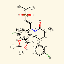 CCC(/C=C/S(=O)(=O)C(C)C)N1C(=O)[C@H](C)C[C@H](c2cccc(Cl)c2)[C@@]1(CC1COC(C)(C)O1)c1ccc(Cl)cc1